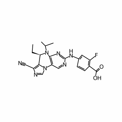 CC[C@@H]1c2c(C#N)ncn2-c2cnc(Nc3ccc(C(=O)O)c(F)c3)nc2N1C(C)C